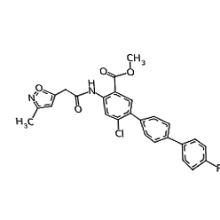 COC(=O)c1cc(-c2ccc(-c3ccc(F)cc3)cc2)c(Cl)cc1NC(=O)Cc1cc(C)no1